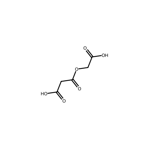 O=C(O)COC(=O)CC(=O)O